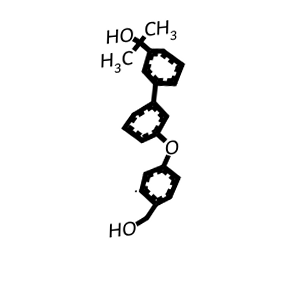 CC(C)(O)c1cccc(-c2cccc(Oc3c[c]c(CO)cc3)c2)c1